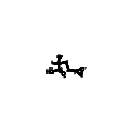 CC(Br)(CCC1CO1)C(=O)O